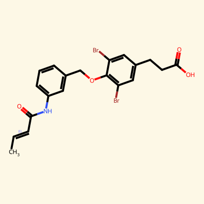 C/C=C/C(=O)Nc1cccc(COc2c(Br)cc(CCC(=O)O)cc2Br)c1